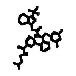 CN(C)CCNC(=O)c1cccc(-c2cccnc2C(Cc2cc(F)cc(F)c2)NC(=O)Cn2nc(C(F)(F)F)c3c2CCCC3)c1